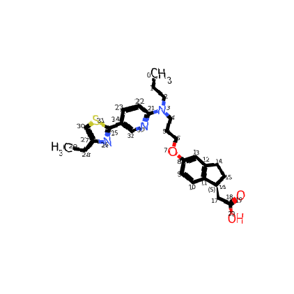 CCCN(CCCOc1ccc2c(c1)CC[C@H]2CC(=O)O)c1ccc(-c2nc(CC)cs2)cn1